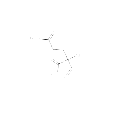 C=CC(N)(CCC(=O)OC)C(=O)OC